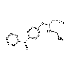 CCNC(CC)Oc1ccc(C(=O)c2ccccc2)cc1